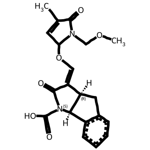 COCN1C(=O)C(C)=CC1OC=C1C(=O)N(C(=O)O)[C@@H]2c3ccccc3C[C@H]12